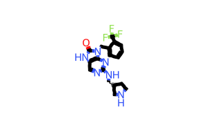 O=c1[nH]c2cnc(NC[C@@H]3CCNC3)nc2n1Cc1ccccc1C(F)(F)F